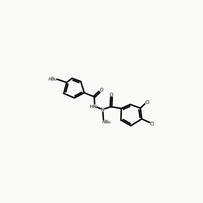 CCCCc1ccc(C(=O)NN(CCCC)C(=O)c2ccc(Cl)c(Cl)c2)cc1